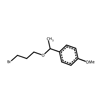 COc1ccc(C(C)OCCCBr)cc1